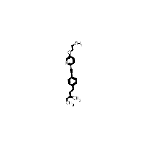 C=C(CC)CCc1ccc(C#Cc2ccc(OCCC)cn2)cc1